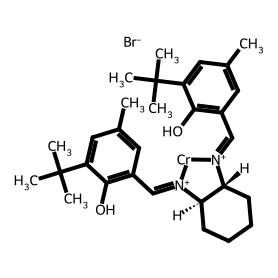 Cc1cc(C=[N+]2[Cr][N+](=Cc3cc(C)cc(C(C)(C)C)c3O)[C@@H]3CCCC[C@H]32)c(O)c(C(C)(C)C)c1.[Br-]